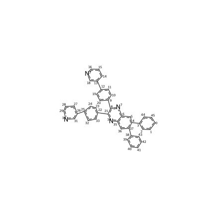 c1ccc(-c2cc3nc(-c4ccc(-c5cccnc5)cc4)c(-c4ccc(-c5cccnc5)cc4)nc3cc2-c2ccccc2)cc1